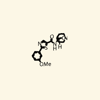 COc1cccc(-c2ncc(C(=O)N[C@H]3CN4CCC3CC4)s2)c1